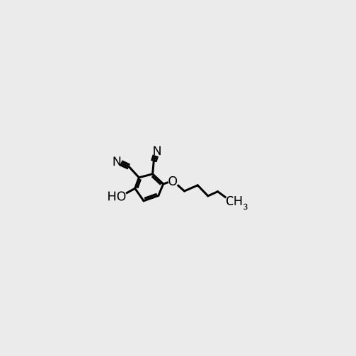 CCCCCOc1ccc(O)c(C#N)c1C#N